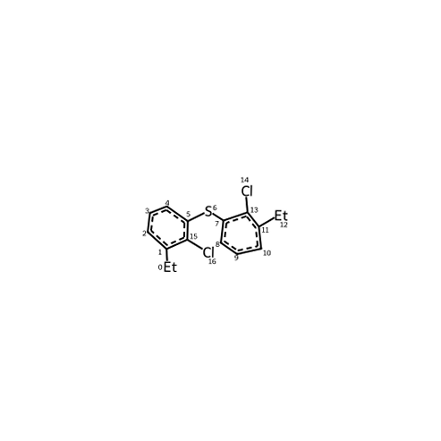 CCc1cccc(Sc2cccc(CC)c2Cl)c1Cl